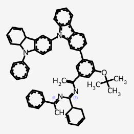 C=C(/N=C(\N=C(/C)c1ccccc1)C1C=CC=CC1)c1cc(OC(C)(C)C)cc(-c2ccc3c4ccccc4n(-c4ccc5c(c4)C4C=CC=CC4N5c4ccccc4)c3c2)c1